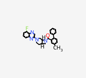 Cc1ccc(-c2ccccc2)c(C(=O)N2C[C@H]3CCN(c4cnc5c(F)cccc5n4)C[C@H]32)c1